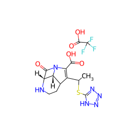 CC(Sc1nnn[nH]1)C1=C(C(=O)O)N2C(=O)[C@H]3NCCC1[C@H]32.O=C(O)C(F)(F)F